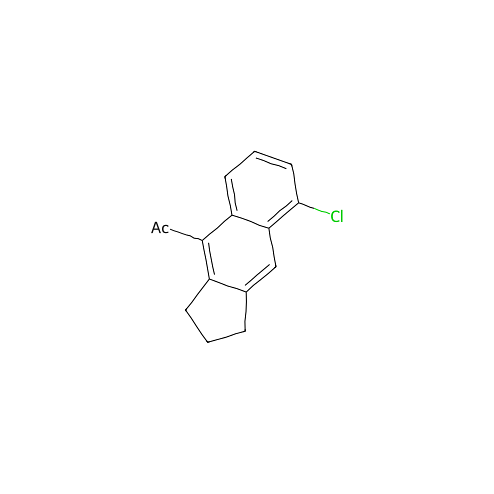 CC(=O)c1c2c(cc3c(Cl)cccc13)CCC2